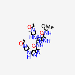 C=CC(=O)N1CCC(Nc2cnc3c(c2)c(C(=O)NCC)cn3C)CC1.C=CC(=O)N1CC[C@H](Nc2cnc3[nH]cc(C(=O)NC(C)COC)c3n2)C[C@@H]1C